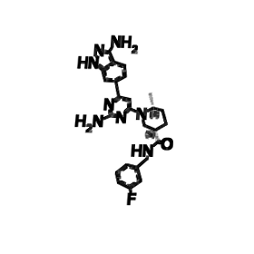 C[C@@H]1CC[C@H](C(=O)NCc2cccc(F)c2)CN1c1cc(-c2ccc3c(N)n[nH]c3c2)nc(N)n1